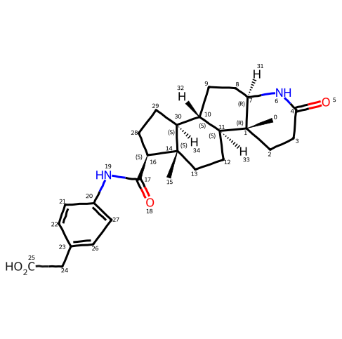 C[C@]12CCC(=O)N[C@@H]1CC[C@@H]1[C@@H]2CC[C@]2(C)[C@@H](C(=O)Nc3ccc(CC(=O)O)cc3)CC[C@@H]12